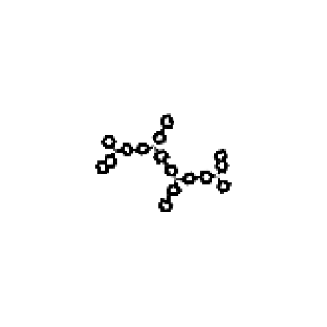 c1ccc(-c2ccc(N(c3ccc(-c4ccc(N(c5ccc(-c6ccccc6)cc5)c5ccc(-c6ccc(N(c7ccccc7)c7ccc8ccccc8c7)cc6)cc5)cc4)cc3)c3ccc(-c4ccc(N(c5ccccc5)c5ccc6ccccc6c5)cc4)cc3)cc2)cc1